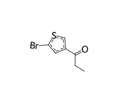 CCC(=O)c1csc(Br)c1